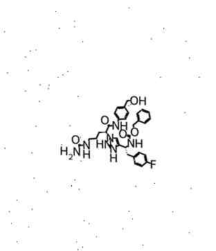 NC(=O)NCCC[C@@H](C(=O)Nc1ccc(CO)cc1)N1C=C([C@@H](Cc2ccc(F)cc2)NC(=O)OCc2ccccc2)NN1